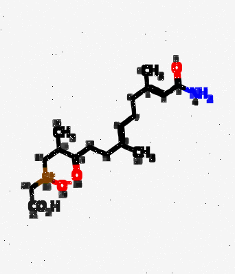 CC(=CC(N)=O)CCC=C(C)CCC(=O)C(C)C[S+]([O-])CC(=O)O